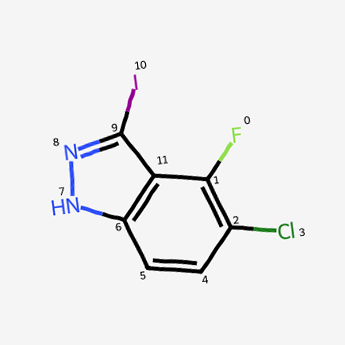 Fc1c(Cl)ccc2[nH]nc(I)c12